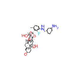 Cc1ccc(NCc2cccc(N)c2)c(F)c1[C@H]1O[C@@H]2C[C@H]3[C@@H]4CCC5=CC(=O)C=C[C@]5(C)[C@H]4[C@@H](O)C[C@]3(C)[C@]2(C(=O)CO)O1